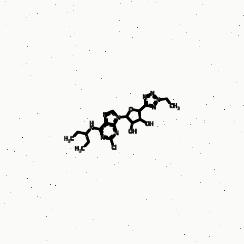 CCC(CC)Nc1nc(Cl)nc2c1ncn2C1OC(c2nnn(CC)n2)C(O)C1O